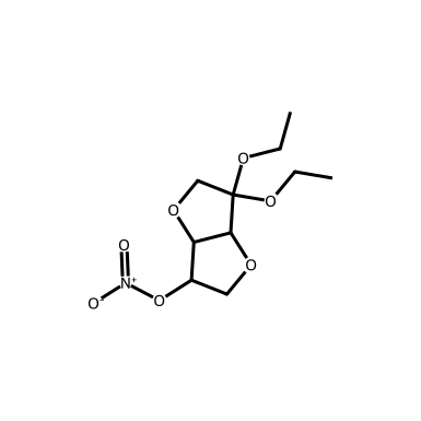 CCOC1(OCC)COC2C(O[N+](=O)[O-])COC21